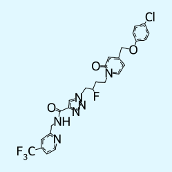 O=C(NCc1cc(C(F)(F)F)ccn1)c1cn(CC(F)CCn2ccc(COc3ccc(Cl)cc3)cc2=O)nn1